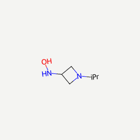 CC(C)N1CC(NO)C1